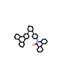 O=c1c2ccccc2c2ccccc2n1-c1ccc(-c2ccccc2-c2ccc3c4ccccc4c4ccccc4c3c2)cc1